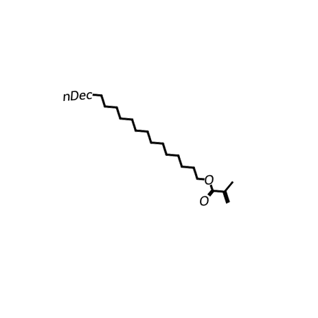 C=C(C)C(=O)OCCCCCCCCCCCCCCCCCCCCCCCC